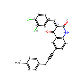 COc1ccc(CC#Cc2ccc3c(c2)C(=O)/C(=C\c2ccc(Cl)c(Cl)c2)C(=O)N3)cc1